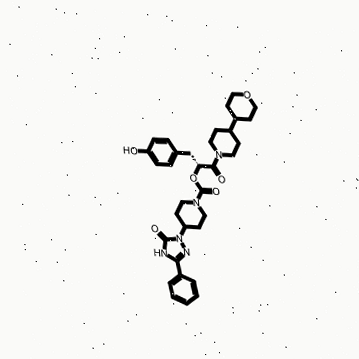 O=C(O[C@H](Cc1ccc(O)cc1)C(=O)N1CCC(C2CCOCC2)CC1)N1CCC(n2nc(-c3ccccc3)[nH]c2=O)CC1